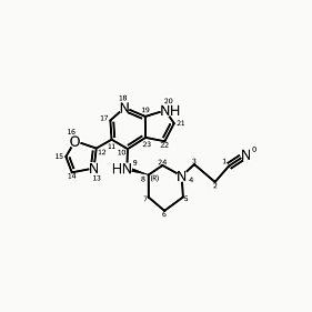 N#CCCN1CCC[C@@H](Nc2c(-c3ncco3)cnc3[nH]ccc23)C1